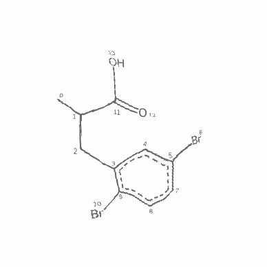 CC(Cc1cc(Br)ccc1Br)C(=O)O